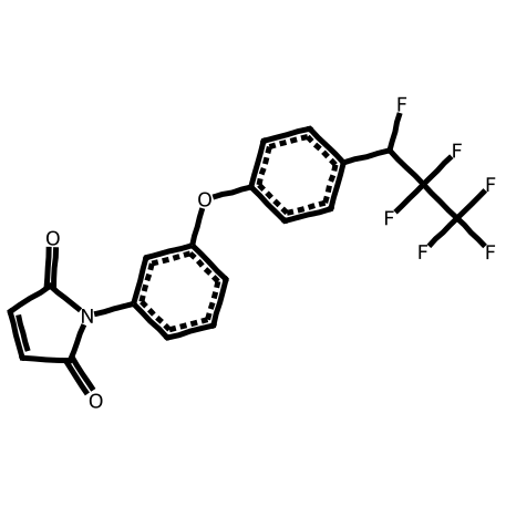 O=C1C=CC(=O)N1c1cccc(Oc2ccc(C(F)C(F)(F)C(F)(F)F)cc2)c1